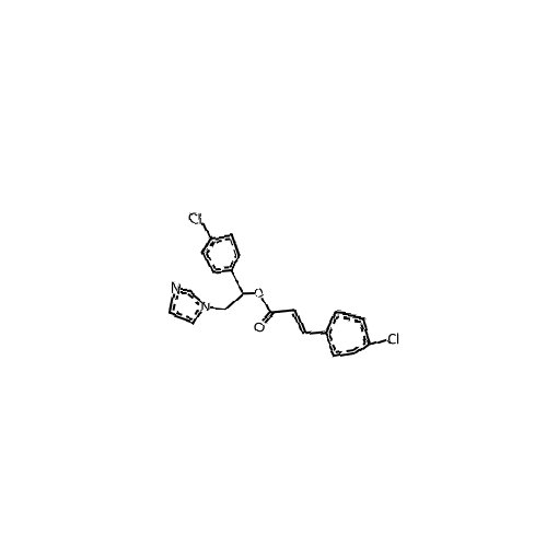 O=C(C=Cc1ccc(Cl)cc1)OC(Cn1ccnc1)c1ccc(Cl)cc1